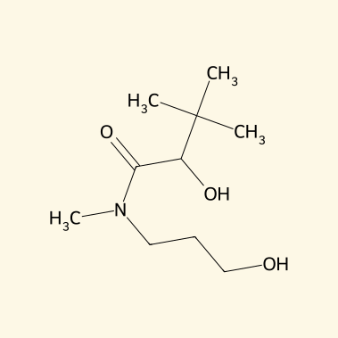 CN(CCCO)C(=O)C(O)C(C)(C)C